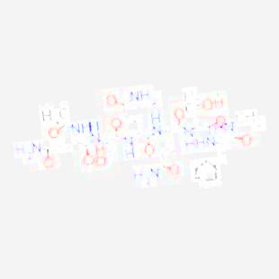 CNC(=O)[C@H](Cc1ccccc1)NC(=O)[C@@H](NC(=O)[C@H](CCC(N)=O)NC(=O)[C@H](CCC(N)=O)NC(=O)[C@H](CO)NC(=O)[C@H](CCC(N)=O)NC(C)=O)C(C)O